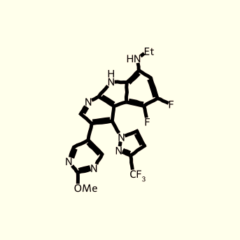 CCNc1cc(F)c(F)c2c1[nH]c1ncc(-c3cnc(OC)nc3)c(-n3ccc(C(F)(F)F)n3)c12